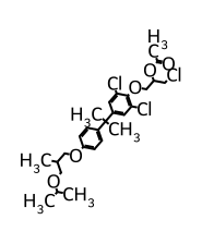 CC(=O)OC(CCl)COc1c(Cl)cc(C(C)(C)c2ccc(OCC(C)COC(C)C)cc2)cc1Cl